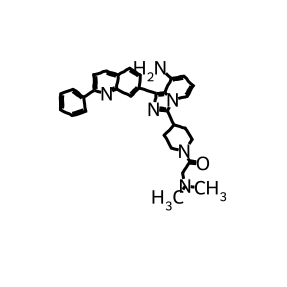 CN(C)CC(=O)N1CCC(c2nc(-c3ccc4ccc(-c5ccccc5)nc4c3)c3c(N)cccn23)CC1